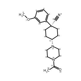 COc1cccc([C@]2(C#N)CC[C@@H](N3CCN(C(C)=O)CC3)CC2)c1